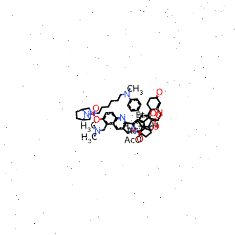 CC[C@@]1(O)C(=O)OCc2c1cc1n(c2=O)Cc2cc3c(CN(C)C)c(OC(=O)N4C5CCC4CN(CCCCCCN(C)c4ccc([C@H]6C[C@@]7(C)[C@@H](CC[C@]7(OC(C)=O)C(C)=O)C7CCC8=CC(=O)CCC8=C76)cc4)C5)ccc3nc2-1